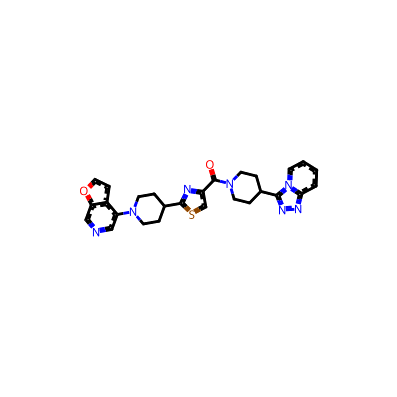 O=C(c1csc(C2CCN(c3cncc4occc34)CC2)n1)N1CCC(c2nnc3ccccn23)CC1